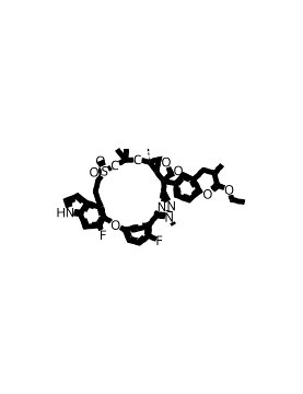 CCOC(=O)C(C)Cc1cccc(C2(C(=O)O)c3nc(n(C)n3)-c3cc(ccc3F)Oc3c(F)cc4[nH]ccc4c3CCS(=O)(=O)CC(C)(C)C[C@@]3(C)CC23)c1